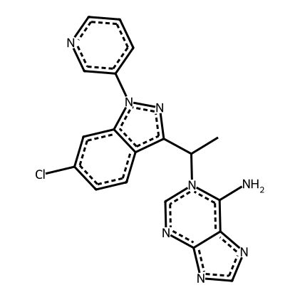 CC(c1nn(-c2cccnc2)c2cc(Cl)ccc12)n1cnc2ncnc-2c1N